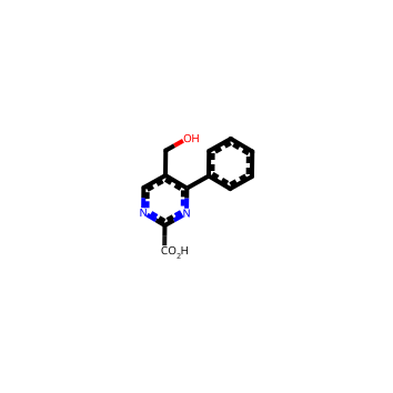 O=C(O)c1ncc(CO)c(-c2ccccc2)n1